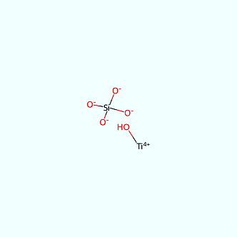 [O-][Si]([O-])([O-])[O-].[OH][Ti+4]